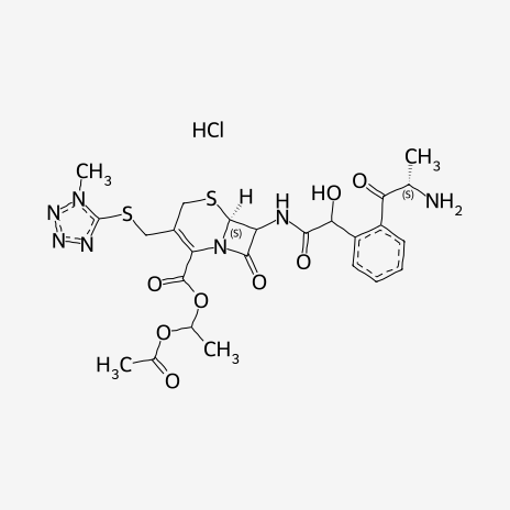 CC(=O)OC(C)OC(=O)C1=C(CSc2nnnn2C)CS[C@H]2C(NC(=O)C(O)c3ccccc3C(=O)[C@H](C)N)C(=O)N12.Cl